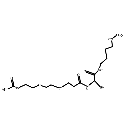 CCCCC(=O)NCCOCCOCCC(=O)NC(C(=O)NCCCCNC=O)C(C)C